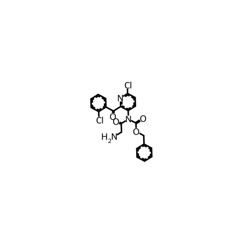 NCC(=O)N(C(=O)OCc1ccccc1)c1ccc(Cl)nc1C(=O)c1ccccc1Cl